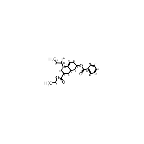 CCOC(=O)C1CC2CC(OC(=O)c3ccccc3)CC=C2N(C(I)CC)C1